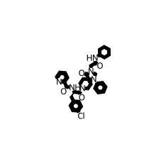 O=C(CN1CN(c2ccccc2)C2(CCN(C(=O)[C@@H](Cc3ccc(Cl)cc3)NC(=O)c3ccccn3)CC2)C1=O)NC1CCCCC1